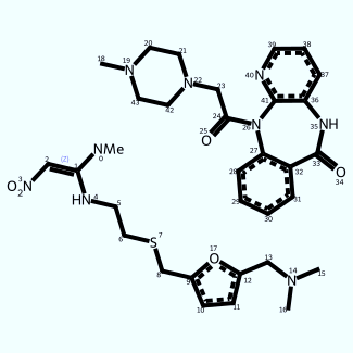 CN/C(=C/[N+](=O)[O-])NCCSCc1ccc(CN(C)C)o1.CN1CCN(CC(=O)N2c3ccccc3C(=O)Nc3cccnc32)CC1